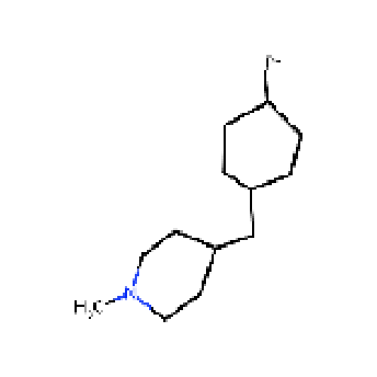 CC(C)C1CCC(CC2CCN(C)CC2)CC1